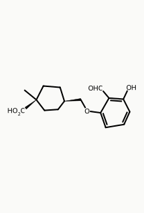 C[C@]1(C(=O)O)CC[C@@H](COc2cccc(O)c2C=O)CC1